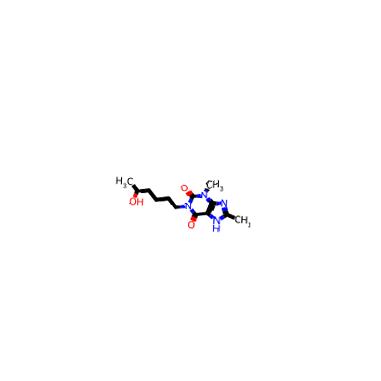 Cc1nc2c([nH]1)c(=O)n(CCCCC(C)O)c(=O)n2C